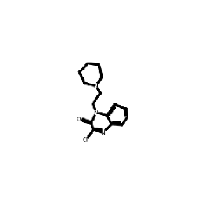 O=c1c(Cl)nc2ccccc2n1CCN1CCCCC1